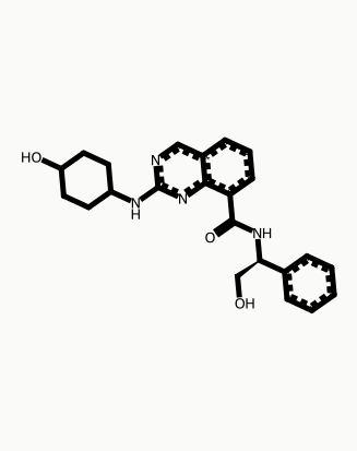 O=C(N[C@H](CO)c1ccccc1)c1cccc2cnc(NC3CCC(O)CC3)nc12